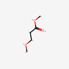 CO[CH]CC(=O)OC